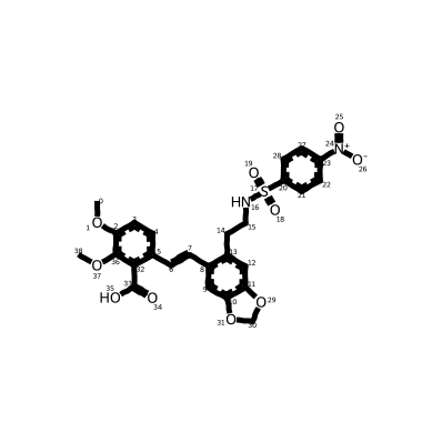 COc1ccc(/C=C/c2cc3c(cc2CCNS(=O)(=O)c2ccc([N+](=O)[O-])cc2)OCO3)c(C(=O)O)c1OC